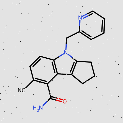 N#Cc1ccc2c(c3c(n2Cc2ccccn2)C[C]C3)c1C(N)=O